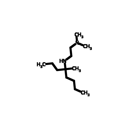 CCCCC(C)(CCC)NCCN(C)C